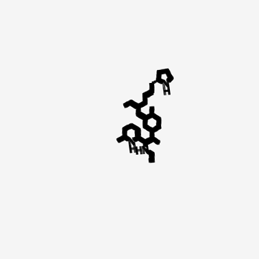 C=CN/C(C1=CCCC(C)N1)=C(\C)C1CCC(C)/C(=C\C(=C/C)C/C=C/C[C@@H]2CCCN2)C1